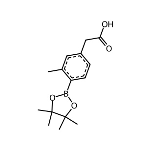 Cc1cc(CC(=O)O)ccc1B1OC(C)(C)C(C)(C)O1